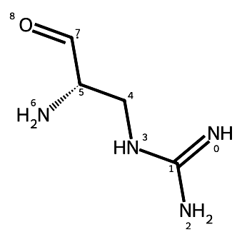 N=C(N)NC[C@H](N)[C]=O